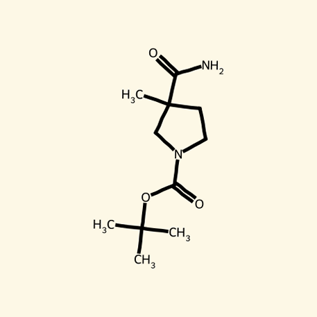 CC(C)(C)OC(=O)N1CCC(C)(C(N)=O)C1